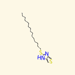 CCCCCCCCCCCCCCCSc1nc2cscc2[nH]1